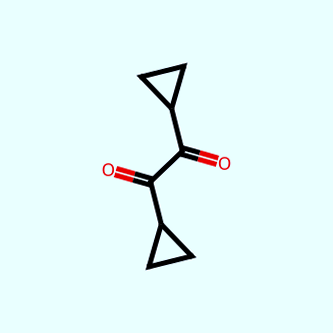 O=C(C(=O)C1CC1)C1CC1